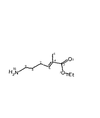 CCOC(=O)C(C)=CCCCN